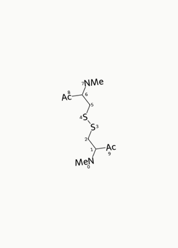 CNC(CSSCC(NC)C(C)=O)C(C)=O